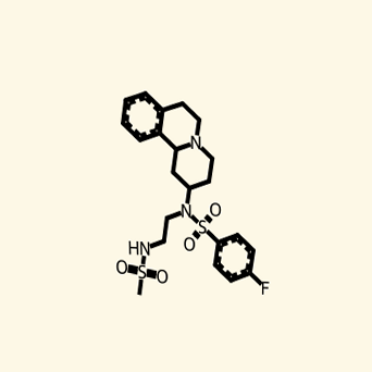 CS(=O)(=O)NCCN(C1CCN2CCc3ccccc3C2C1)S(=O)(=O)c1ccc(F)cc1